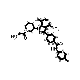 C=CC(=O)N1CCC[C@@H](n2nc(-c3ccc(C(=O)Nc4ccc(F)cn4)cc3)c3c(N)ncc(Cl)c32)C1